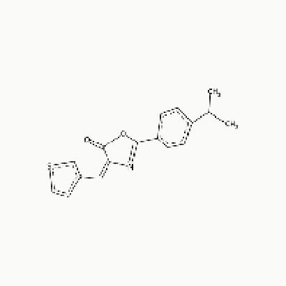 CC(C)c1ccc(C2=NC(=Cc3ccsc3)C(=O)O2)cc1